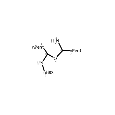 CCCCCCNC(CCCCC)OC(N)CCCCC